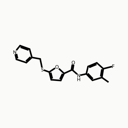 Cc1cc(NC(=O)c2ccc(SCc3ccncc3)o2)ccc1F